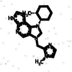 C[C@@H]1CCCC[C@@H]1N1CN(Cc2nccn2C)c2cnc3[nH]ccc3c21